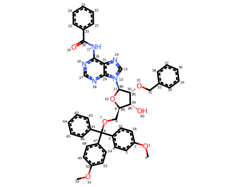 COc1ccc(C(OC[C@H]2O[C@@H](n3cnc4c(NC(=O)c5ccccc5)ncnc43)[C@H](OCc3ccccc3)[C@@H]2O)(c2ccccc2)c2ccc(OC)cc2)cc1